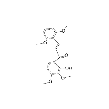 COc1cccc(OC)c1/C=C/C(=O)c1ccc(OC)c(OC)c1O